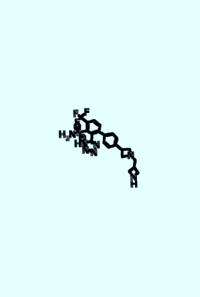 NS(=O)(=O)c1c(C(F)(F)F)ccc(-c2ccc(C3CN(CC4CNC4)C3)cc2)c1-c1nnn[nH]1